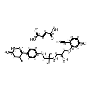 CC1CC(=O)NN=C1c1ccc(NCC(C)(C)NCC(O)COc2cc(Cl)ccc2C#N)cc1.O=C(O)C=CC(=O)O